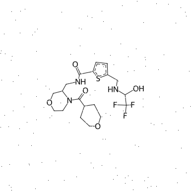 O=C(NCC1COCCN1C(=O)C1CCOCC1)c1ccc(CNC(O)C(F)(F)F)s1